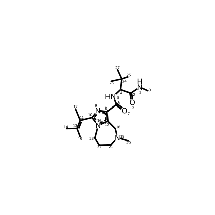 CNC(=O)C(NC(=O)c1nc(C(C)=C(C)C)n2c1CN(C)CCC2)C(C)(C)C